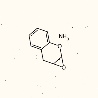 N.c1ccc2c(c1)CC1OC1O2